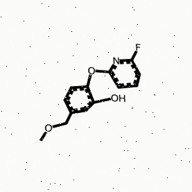 COCc1ccc(Oc2cccc(F)n2)c(O)c1